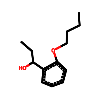 CCCCOc1ccccc1C(O)CC